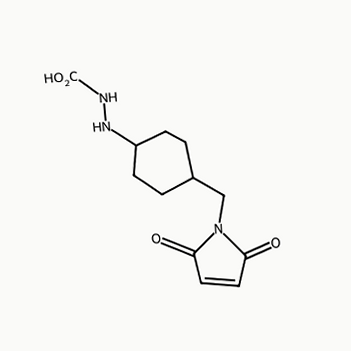 O=C(O)NNC1CCC(CN2C(=O)C=CC2=O)CC1